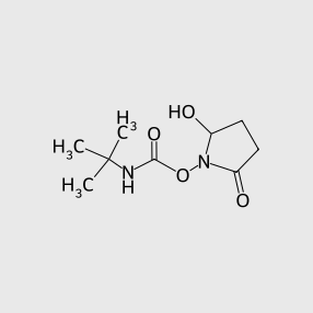 CC(C)(C)NC(=O)ON1C(=O)CCC1O